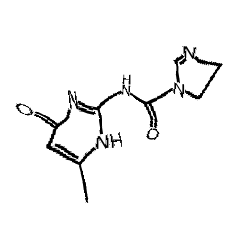 Cc1cc(=O)nc(NC(=O)N2C=NCC2)[nH]1